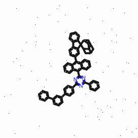 c1ccc(-c2cccc(-c3ccc(-c4nc(-c5ccccc5)nc(-c5c6ccccc6c(-c6ccc7c(c6)C6(c8ccccc8-7)C7CC8CC(C7)CC6C8)c6ccccc56)n4)cc3)c2)cc1